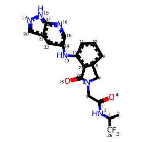 CC(NC(=O)CN1Cc2cccc(Nc3cnc4[nH]ncc4c3)c2C1=O)C(F)(F)F